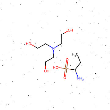 CCC(N)S(=O)(=O)O.OCCN(CCO)CCO